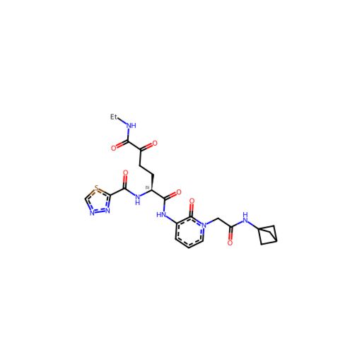 CCNC(=O)C(=O)CC[C@H](NC(=O)c1nncs1)C(=O)Nc1cccn(CC(=O)NC23CC(C2)C3)c1=O